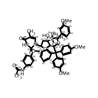 COc1ccc(C(c2ccccc2)(c2ccc(OC)cc2)C(OCc2cccc(OC)c2)[C@H]2O[C@@](COc3ccc(NC(=O)C(F)(F)F)cc3)(n3cc(C)c(=O)[nH]c3=O)C[C@@]2(O)[Si](C)(C)C(C)(C)C)cc1